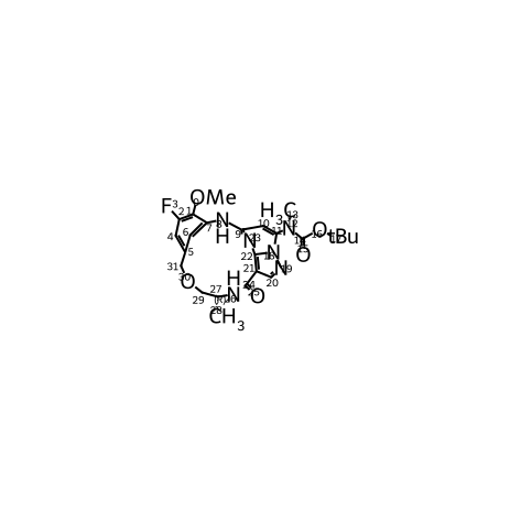 COc1c(F)cc2cc1Nc1cc(N(C)C(=O)OC(C)(C)C)n3ncc(c3n1)C(=O)N[C@H](C)COC2